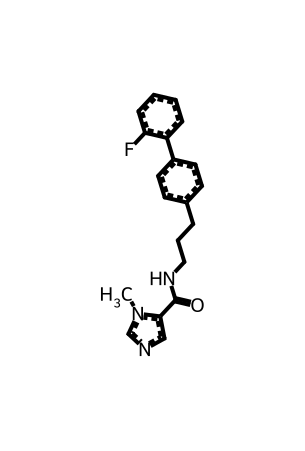 Cn1cncc1C(=O)NCCCc1ccc(-c2ccccc2F)cc1